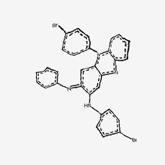 Brc1ccc(Nc2cc3nc4ccccc4n(-c4ccc(Br)cc4)c-3c/c2=N\c2ccccc2)cc1